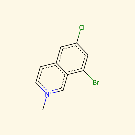 C[n+]1ccc2cc(Cl)cc(Br)c2c1